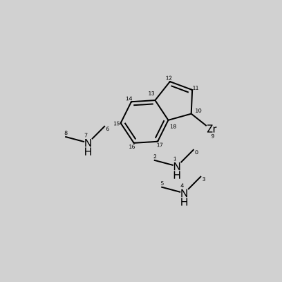 CNC.CNC.CNC.[Zr][CH]1C=Cc2ccccc21